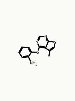 Cc1csc2ncnc(Sc3ccccc3N)c12